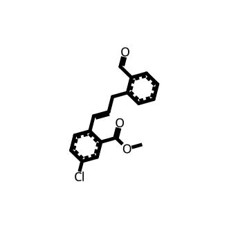 COC(=O)c1cc(Cl)ccc1/C=C/Cc1ccccc1C=O